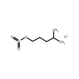 CC(C)CCCO[S-](=O)=O.[Li+]